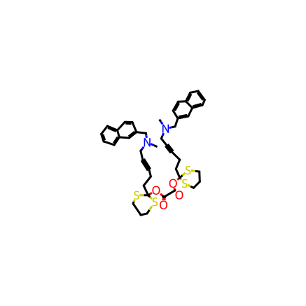 CN(CC#CCCC1(OC(=O)C(=O)OC2(CCC#CCN(C)Cc3ccc4ccccc4c3)SCCCS2)SCCCS1)Cc1ccc2ccccc2c1